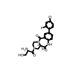 NC(CO)C(=O)N1CCN2C(=O)c3cc(-c4ccc(Cl)cc4F)ccc3NC(=O)[C@H]2C1